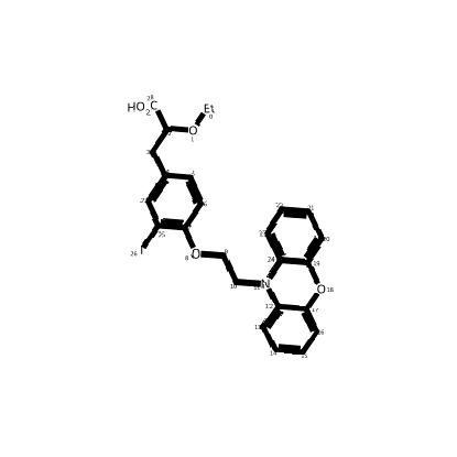 CCOC(Cc1ccc(OCCN2c3ccccc3Oc3ccccc32)c(I)c1)C(=O)O